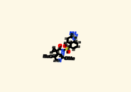 COc1cc(C2(C(=O)NS(=O)(=O)c3cccc4nc(N)ccc34)CC2)c(OCC(C)C)cn1